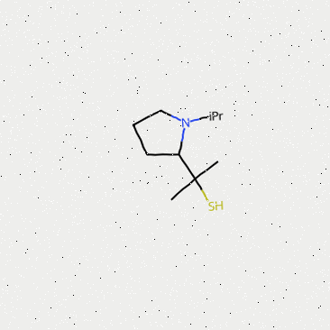 CC(C)N1CCCC1C(C)(C)S